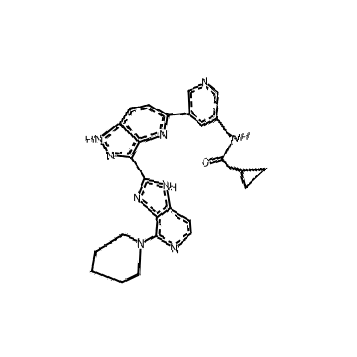 O=C(Nc1cncc(-c2ccc3[nH]nc(-c4nc5c(N6CCCCC6)nccc5[nH]4)c3n2)c1)C1CC1